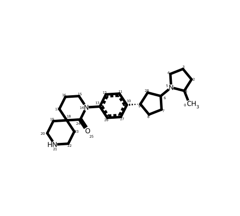 CC1CCCN1C1CC[C@H](c2ccc(N3CCCC4(CCNCC4)C3=O)cc2)C1